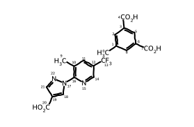 Cc1cc(C(=O)O)cc(C(=O)O)c1.Cc1cc(C(F)(F)F)cnc1-n1cc(C(=O)O)cn1